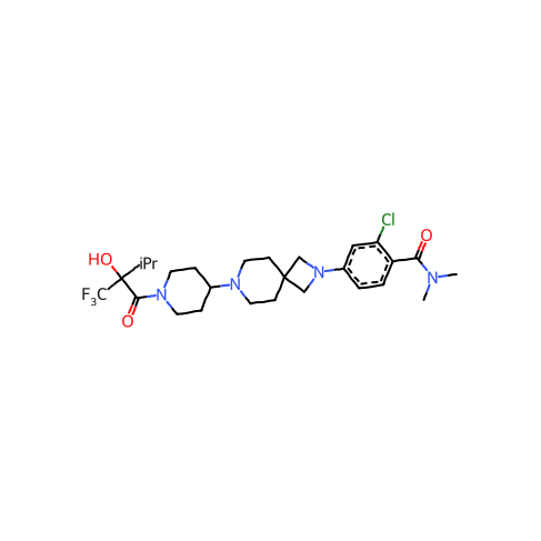 CC(C)C(O)(C(=O)N1CCC(N2CCC3(CC2)CN(c2ccc(C(=O)N(C)C)c(Cl)c2)C3)CC1)C(F)(F)F